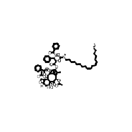 CC(=O)O[C@H]1C(=O)[C@@]2(C)[C@H]([C@H](OC(=O)c3ccccc3)[C@]3(O)C[C@H](OC(=O)[C@H](OC(=O)N(C)CCCCCCCC/C=C\C/C=C\CCCCI=S)[C@@H](NC(=O)c4ccccc4)c4ccccc4)C(C)=C1C3(C)C)[C@]1(OC(C)=O)CO[C@@H]1C[C@@H]2O